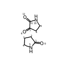 O=C1CCCN1.O=C1CCNC1=O